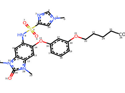 Cn1cnc(S(=O)(=O)Nc2cc3c(cc2Oc2cccc(OCCCCC(=O)O)c2)n(C)c(=O)n3C)c1